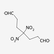 O=[C]CCC(CC[C]=O)([N+](=O)[O-])[N+](=O)[O-]